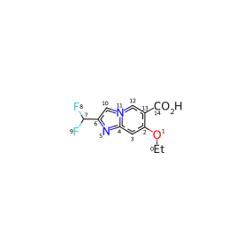 CCOc1cc2nc(C(F)F)cn2cc1C(=O)O